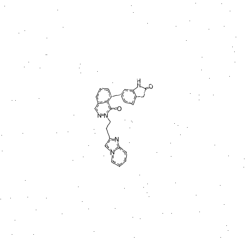 O=C1Cc2ccc(-c3cccc4cnn(CCc5cn6ccccc6n5)c(=O)c34)cc2N1